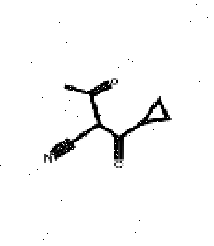 CC(=O)C(C#N)C(=O)C1CC1